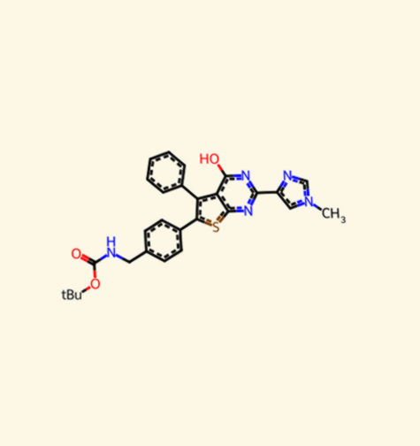 Cn1cnc(-c2nc(O)c3c(-c4ccccc4)c(-c4ccc(CNC(=O)OC(C)(C)C)cc4)sc3n2)c1